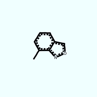 Cc1cccc2conc12